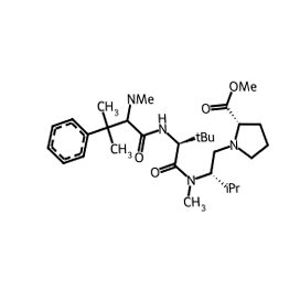 CNC(C(=O)N[C@H](C(=O)N(C)[C@H](CN1CCC[C@H]1C(=O)OC)C(C)C)C(C)(C)C)C(C)(C)c1ccccc1